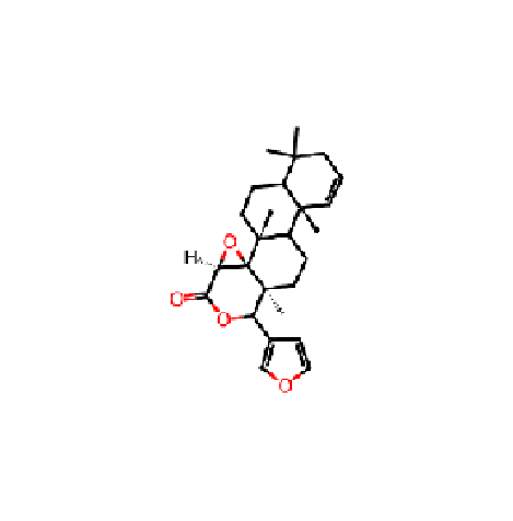 CC1(C)CC=C[C@@]2(C)C1CC[C@]1(C)C2CC[C@@]2(C)C(c3ccoc3)OC(=O)[C@H]3O[C@]321